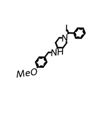 COc1ccc(CNC2CCN(C(I)c3ccccc3)CC2)cc1